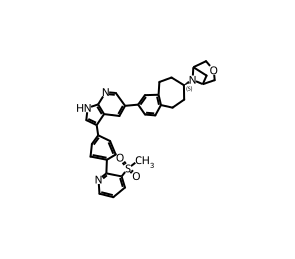 CS(=O)(=O)c1cccnc1-c1ccc(-c2c[nH]c3ncc(-c4ccc5c(c4)CC[C@@H](N4C6COCC4C6)CC5)cc23)cc1